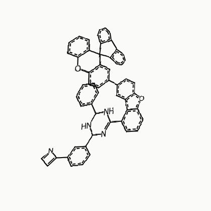 C1=NC(c2cccc(C3N=C(c4cccc5oc6ccc(-c7ccc8c(c7)C7(c9ccccc9O8)c8ccccc8-c8ccccc87)cc6c45)NC(c4ccccc4)N3)c2)=C1